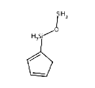 [SiH3]O[SiH2]C1=CC=CC1